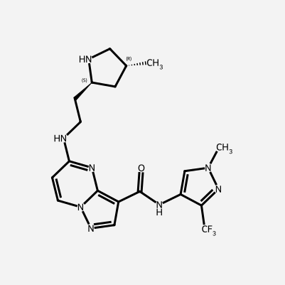 C[C@H]1CN[C@H](CCNc2ccn3ncc(C(=O)Nc4cn(C)nc4C(F)(F)F)c3n2)C1